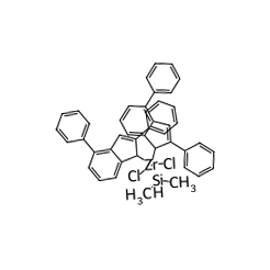 C[SiH](C)[Zr]([Cl])([Cl])([CH]1C(c2ccccc2)=Cc2c(-c3ccccc3)cccc21)[CH]1C(c2ccccc2)=Cc2c(-c3ccccc3)cccc21